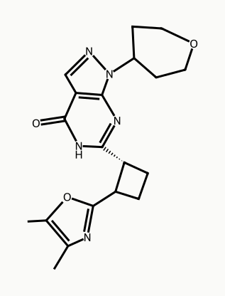 Cc1nc(C2CC[C@H]2c2nc3c(cnn3C3CCOCC3)c(=O)[nH]2)oc1C